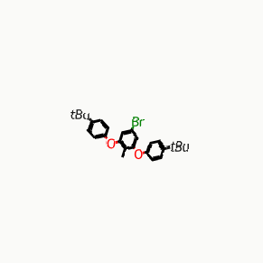 Cc1c(Oc2ccc(C(C)(C)C)cc2)cc(Br)cc1Oc1ccc(C(C)(C)C)cc1